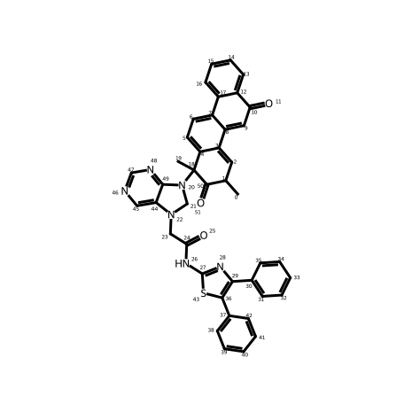 CC1C=c2c(ccc3c2=CC(=O)c2ccccc2-3)C(C)(N2CN(CC(=O)Nc3nc(-c4ccccc4)c(-c4ccccc4)s3)c3cncnc32)C1=O